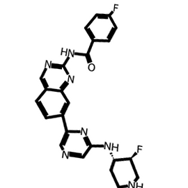 O=C(Nc1ncc2ccc(-c3cncc(N[C@H]4CCNC[C@@H]4F)n3)cc2n1)c1ccc(F)cc1